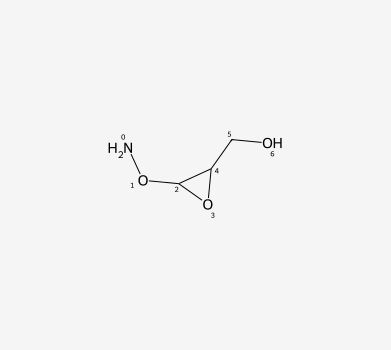 NOC1OC1CO